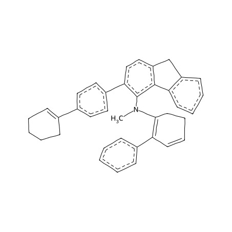 CN(C1=C(c2ccccc2)C=CCC1)c1c(-c2ccc(C3=CCCCC3)cc2)ccc2c1-c1ccccc1C2